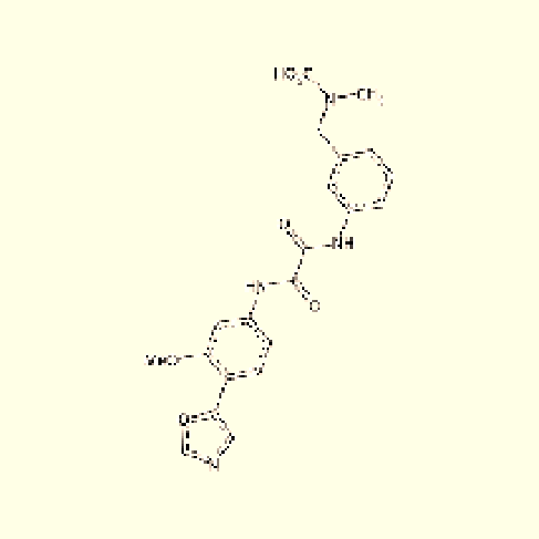 COc1cc(NC(=O)C(=O)Nc2cccc(CN(C)C(=O)O)c2)ccc1-c1cnco1